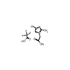 Cc1nc(Cl)cn1CC(=O)O.O=C(O)C(F)(F)F